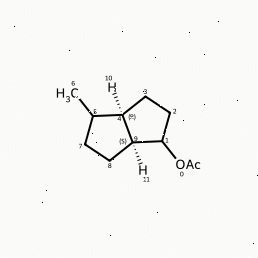 CC(=O)OC1CC[C@@H]2C(C)CC[C@H]12